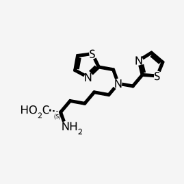 N[C@@H](CCCCN(Cc1nccs1)Cc1nccs1)C(=O)O